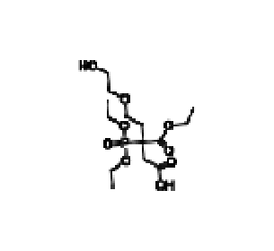 CCOC(=O)C(CCOCCO)(CC(=O)O)P(=O)(OCC)OCC